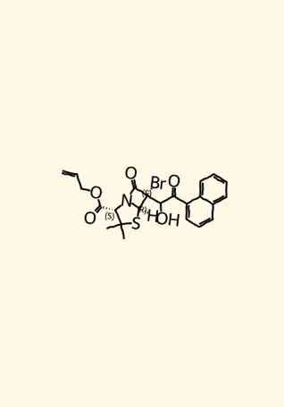 C=CCOC(=O)[C@@H]1N2C(=O)[C@@](Br)(C(O)C(=O)c3cccc4ccccc34)[C@H]2SC1(C)C